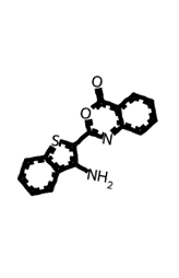 Nc1c(-c2nc3ccccc3c(=O)o2)sc2ccccc12